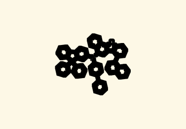 c1ccc(-c2ccc(N(c3ccc4c(c3)C(c3ccccc3)(c3ccccc3)c3ccccc3-4)c3cc4c(oc5cccc(-c6cccc7ccccc67)c54)c4ccccc34)cc2)cc1